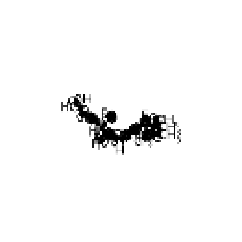 Cc1c([S+](C)[O-])c(-c2cc(F)cc(N3CCN(c4ccc(NS(=O)(=O)c5ccc(N[C@H](CCN6CCC(C(=O)OCCP(=O)(O)O)CC6)CSc6ccccc6F)c(S(=O)(=O)C(F)(F)F)c5)cc4)CC3)c2)c(-c2ccc(Cl)cc2)n1C(C)C